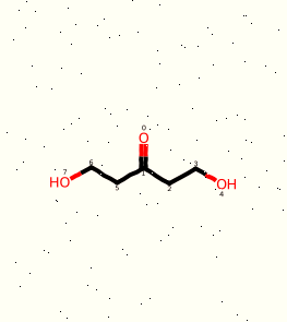 O=C(CCO)CCO